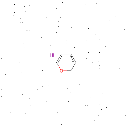 C1=CCOC=C1.I